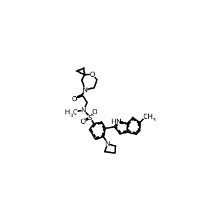 Cc1ccc2cc(-c3cc(S(=O)(=O)N(C)CC(=O)N4CCOC5(CC5)C4)ccc3N3CCC3)[nH]c2c1